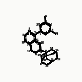 Cc1cc(C)cc(-c2nccc3ccc(C45CC6CC(CC(C6)C4)C5)cc23)c1